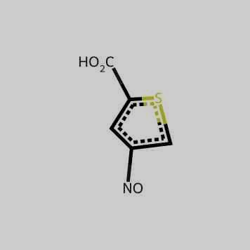 O=Nc1csc(C(=O)O)c1